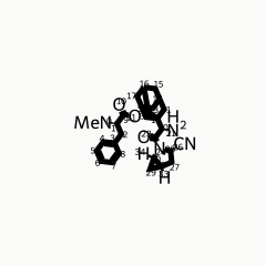 CN[C@@H](Cc1ccccc1)C(=O)OC12CC3CC(C1)CC([C@H](N)C(=O)N1[C@H](C#N)C[C@@H]4C[C@@H]41)(C3)C2